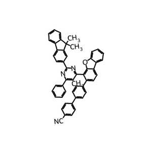 Cc1c(-c2ccccc2)nc(-c2ccc3c(c2)C(C)(C)c2ccccc2-3)nc1-c1c(-c2ccc(-c3ccc(C#N)cc3)cc2)ccc2c1oc1ccccc12